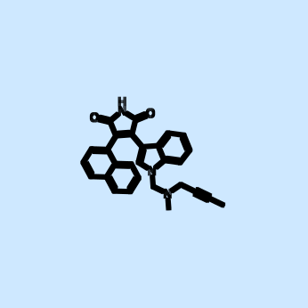 CC#CCN(C)Cn1cc(C2=C(c3cccc4ccccc34)C(=O)NC2=O)c2ccccc21